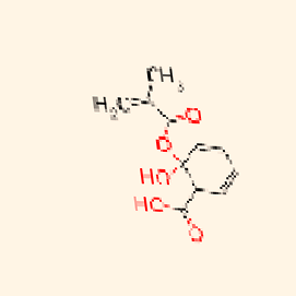 C=C(C)C(=O)OC1(O)C=CC=CC1C(=O)O